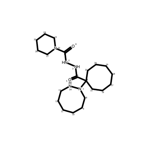 O=C(NNC(=O)C1(N2CCCCCCN2)CCCCCCC1)N1CCCCC1